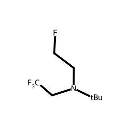 CC(C)(C)N(CCF)CC(F)(F)F